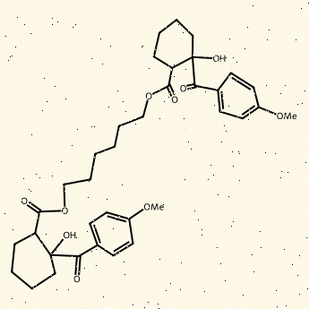 COc1ccc(C(=O)C2(O)CCCCC2C(=O)OCCCCCCOC(=O)C2CCCCC2(O)C(=O)c2ccc(OC)cc2)cc1